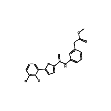 COC(=O)Cc1cccc(NC(=O)c2ccc(-c3cccc(Cl)c3Cl)o2)c1